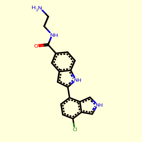 NCCNC(=O)c1ccc2[nH]c(-c3ccc(Cl)c4c[nH]cc34)cc2c1